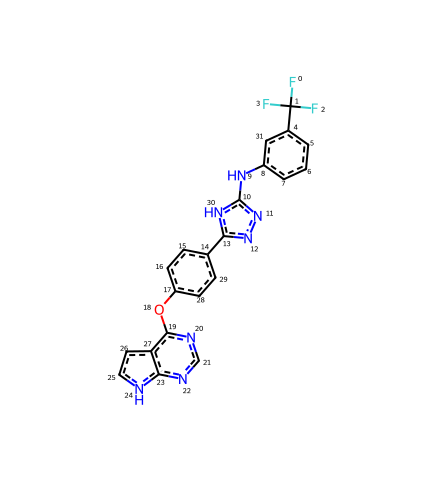 FC(F)(F)c1cccc(Nc2nnc(-c3ccc(Oc4ncnc5[nH]ccc45)cc3)[nH]2)c1